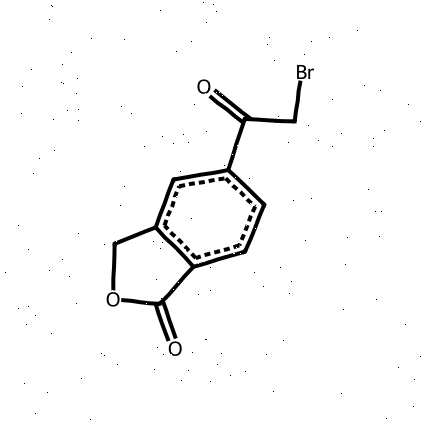 O=C(CBr)c1ccc2c(c1)COC2=O